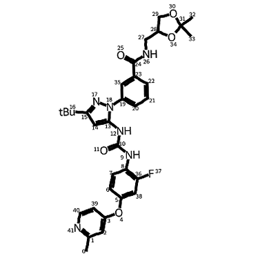 Cc1cc(Oc2ccc(NC(=O)Nc3cc(C(C)(C)C)nn3-c3cccc(C(=O)NCC4COC(C)(C)O4)c3)c(F)c2)ccn1